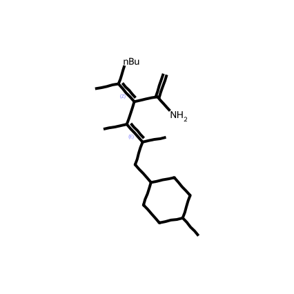 C=C(N)C(=C(/C)CCCC)/C(C)=C(\C)CC1CCC(C)CC1